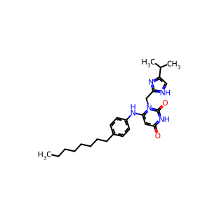 CCCCCCCCc1ccc(Nc2cc(=O)[nH]c(=O)n2Cc2nc(C(C)C)c[nH]2)cc1